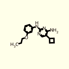 CCCOc1cccc(Nc2ncc(C3CCC3)c(N)n2)c1